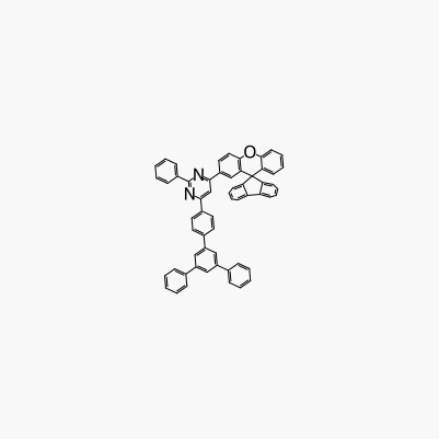 c1ccc(-c2cc(-c3ccccc3)cc(-c3ccc(-c4cc(-c5ccc6c(c5)C5(c7ccccc7O6)c6ccccc6-c6ccccc65)nc(-c5ccccc5)n4)cc3)c2)cc1